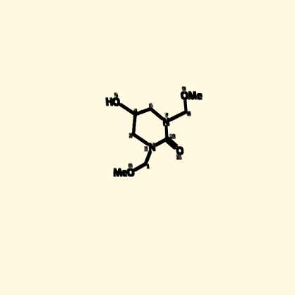 COCN1CC(O)CN(COC)C1=O